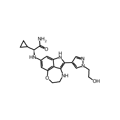 NC(=O)[C@@H](Nc1cc2c3c(c(-c4cnn(CCO)c4)[nH]c3c1)NCCO2)C1CC1